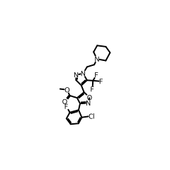 COC(=O)c1c(-c2c(F)cccc2Cl)noc1-c1cnn(CCN2CCCCC2)c1C(F)(F)F